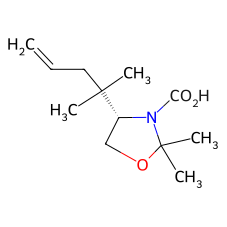 C=CCC(C)(C)[C@H]1COC(C)(C)N1C(=O)O